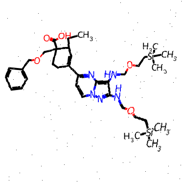 CCC1C=C(c2ccn3nc(NCOCC[Si](C)(C)C)c(NCOCC[Si](C)(C)C)c3n2)CCC1(COCc1ccccc1)C(=O)O